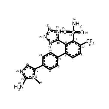 Cn1c(-c2ccc(-c3ccc(C(F)(F)F)c(S(N)(=O)=O)c3-c3nnn[nH]3)cc2)cnc1N